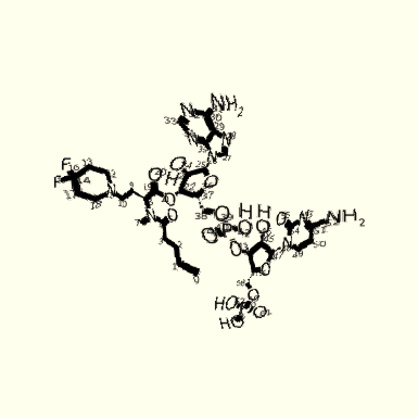 C=CCCC(=O)N(C)[C@@H](CCN1CCC(F)(F)CC1)C(=O)O[C@H]1[C@@H](O)[C@H](n2cnc3c(N)ncnc32)O[C@@H]1COP(=O)(O)O[C@H]1[C@@H](O)[C@H](n2ccc(N)nc2=O)O[C@@H]1COP(=O)(O)O